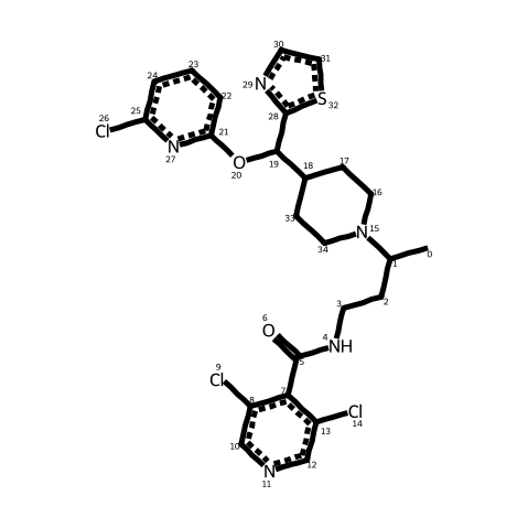 CC(CCNC(=O)c1c(Cl)cncc1Cl)N1CCC(C(Oc2cccc(Cl)n2)c2nccs2)CC1